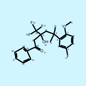 COc1ccc(F)cc1C(C)(C)CC(O)(CC(=O)c1ccccc1)C(F)(F)F